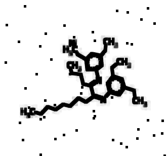 CCCCCCCCC(=Nc1cc(CC)cc(CC)c1)C(CCCC)=Nc1cc(CC)cc(CC)c1.[Ni]